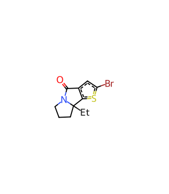 CCC12CCCN1C(=O)c1cc(Br)sc12